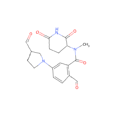 CN(C(=O)c1cc(N2CCC(C=O)C2)ccc1C=O)C1CCC(=O)NC1=O